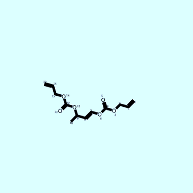 C=CCOC(=O)OC=CC(C)OC(=O)OCC=C